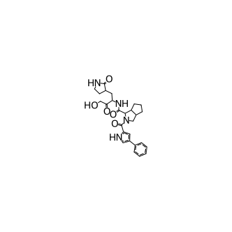 O=C1NCCC1CC(NC(=O)C1C2CCCC2CN1C(=O)c1cc(-c2ccccc2)c[nH]1)C(=O)CO